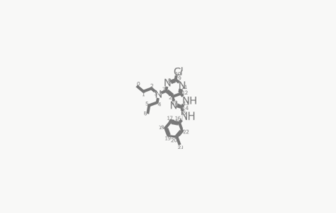 CCCN(CCC)c1nc(Cl)nc2[nH]c(Nc3cccc(C)c3)nc12